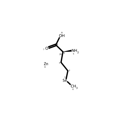 C[Se]CC[C@H](N)C(=O)O.[Zn]